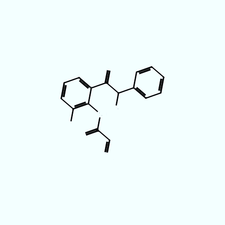 C=CC(=O)Nc1c(C)cccc1C(=O)C(O)c1ccccc1